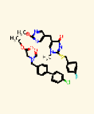 CCOC(=O)CN(C=O)Cc1ccc(-c2ccc(Cl)cc2)cc1.COc1ncc(Cc2cn(C)c(SCc3ccc(F)cc3)nc2=O)cn1